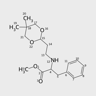 COC(=O)C(Cc1ccccc1)NCCC1OCC(C)(C)CO1